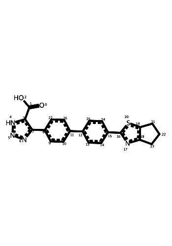 O=C(O)c1[nH]nnc1-c1ccc(-c2ccc(-c3nc4c(s3)CCC4)cc2)cc1